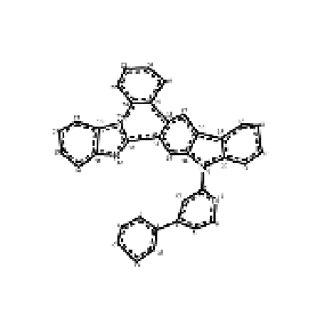 c1ccc(-c2ccnc(-n3c4ccccc4c4cc5c6ccccc6n6c7ccccc7nc6c5cc43)c2)cc1